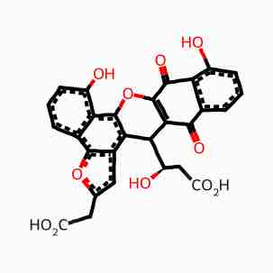 O=C(O)Cc1cc2c3c(c4c(O)cccc4c2o1)OC1=C(C(=O)c2cccc(O)c2C1=O)C3[C@H](O)CC(=O)O